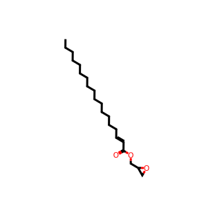 CCCCCCCCCCCCCCCC=CC(=O)OCC1CO1